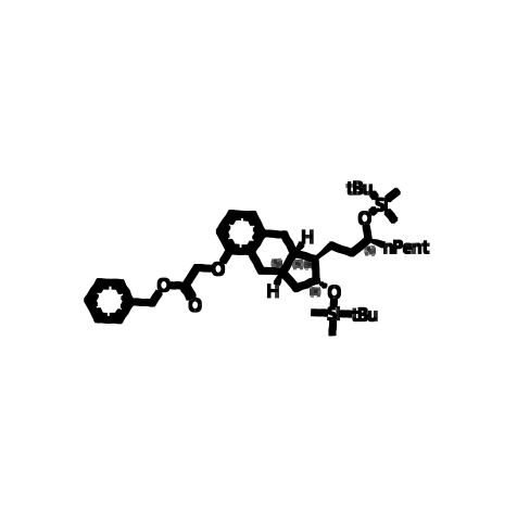 CCCCC[C@@H](CC[C@@H]1[C@H]2Cc3cccc(OCC(=O)OCc4ccccc4)c3C[C@H]2C[C@H]1O[Si](C)(C)C(C)(C)C)O[Si](C)(C)C(C)(C)C